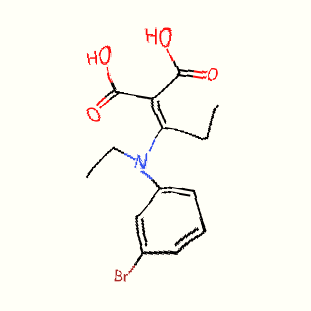 CCC(=C(C(=O)O)C(=O)O)N(CC)c1cccc(Br)c1